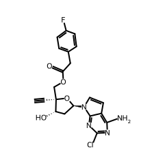 C#C[C@]1(COC(=O)Cc2ccc(F)cc2)O[C@@H](n2ccc3c(N)nc(Cl)nc32)C[C@@H]1O